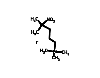 CC(C)(CCC[P+](C)(C)C)[N+](=O)[O-].[I-]